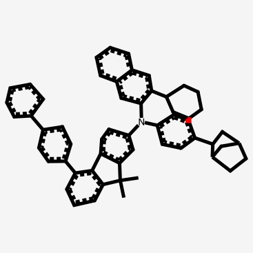 CC1(C)c2cc(N(c3ccc(C4CC5CCC4C5)cc3)c3cc4ccccc4cc3C3CCCCC3)ccc2-c2c(-c3ccc(-c4ccccc4)cc3)cccc21